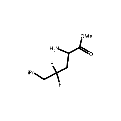 COC(=O)C(N)CC(F)(F)CC(C)C